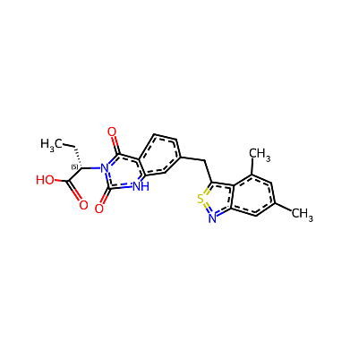 CC[C@@H](C(=O)O)n1c(=O)[nH]c2cc(Cc3snc4cc(C)cc(C)c34)ccc2c1=O